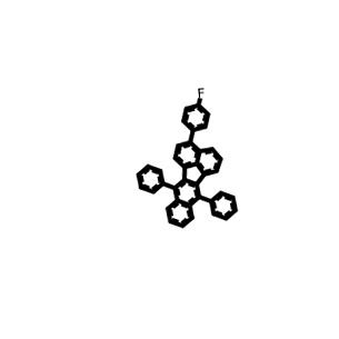 Fc1ccc(-c2ccc3c4c(cccc24)-c2c-3c(-c3ccccc3)c3ccccc3c2-c2ccccc2)cc1